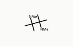 CNC(C)(C)C(C)(C)NC